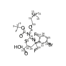 CC(C)(C)OC(=O)N(COCC[Si](C)(C)C)C1=NC(CF)(c2cc(Br)ccc2F)C=C(C(=O)O)S1